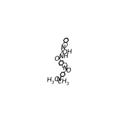 CN(C)c1ccc(C(=O)N2CCc3cc(C(=O)NCC(O)CN4CCc5ccccc5C4)ccc3C2)cc1